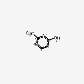 Oc1ccnc(C(Cl)(Cl)Cl)n1